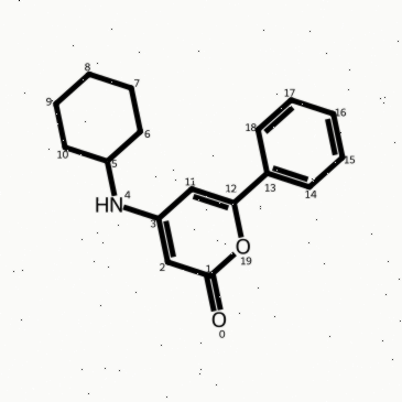 O=c1cc(NC2CCCCC2)cc(-c2ccccc2)o1